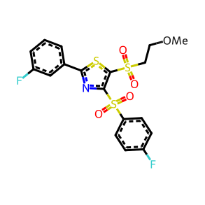 COCCS(=O)(=O)c1sc(-c2cccc(F)c2)nc1S(=O)(=O)c1ccc(F)cc1